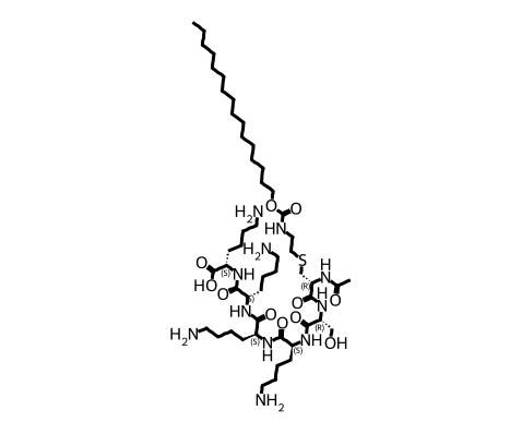 CCCCCCCCCCCCCCCCOC(=O)NCCSC[C@H](NC(C)=O)C(=O)N[C@H](CO)C(=O)N[C@@H](CCCCN)C(=O)N[C@@H](CCCCN)C(=O)N[C@@H](CCCCN)C(=O)N[C@@H](CCCCN)C(=O)O